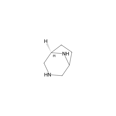 C1C[C@@H]2CNCC1N2